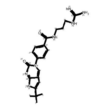 CC(C)(C)c1cc2cn(-c3ccc(C(=O)NCCCNC(=N)N)cc3)c(=O)nc2[nH]1